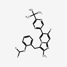 Cc1nc2cc(F)c(-c3cnc(C(C)(C)O)cn3)cn2c1Cc1ccccc1OC(F)F